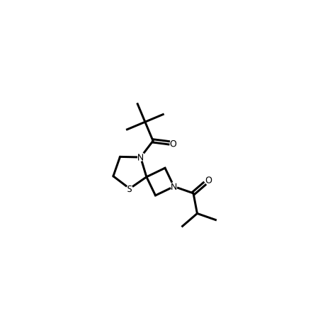 CC(C)C(=O)N1CC2(C1)SCCN2C(=O)C(C)(C)C